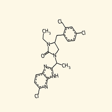 CCN1C(=O)N(C(C)c2nc3ccc(Cl)nc3[nH]2)CC1Cc1ccc(Cl)cc1Cl